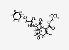 CC1=C(C(=O)OCC(Cl)(Cl)Cl)N2C(=O)C(NC(=O)COc3ccccc3)[C@H]2S(=O)(=O)C1